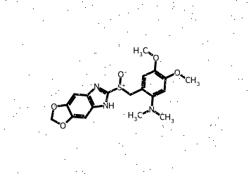 COc1cc(C[S+]([O-])c2nc3cc4c(cc3[nH]2)OCO4)c(N(C)C)cc1OC